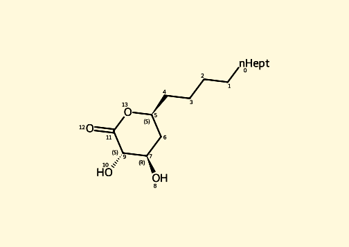 CCCCCCCCCCC[C@H]1C[C@@H](O)[C@H](O)C(=O)O1